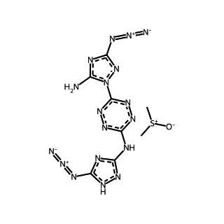 C[S+](C)[O-].[N-]=[N+]=Nc1nc(N)n(-c2nnc(Nc3n[nH]c(N=[N+]=[N-])n3)nn2)n1